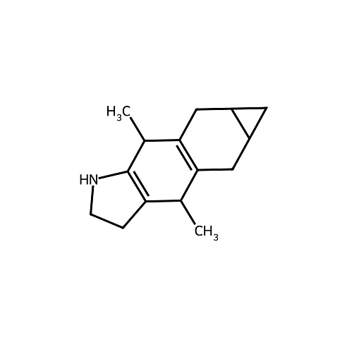 CC1C2=C(CC3CC3C2)C(C)C2=C1CCN2